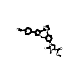 COC(=O)[C@@H]1CN(c2ccc3c(c2)Cn2cc(-c4ccc(C#N)cc4)cc2-c2nccn2-3)C(=O)N1C